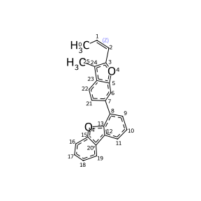 C/C=C\c1oc2cc(-c3cccc4c3oc3ccccc34)ccc2c1C